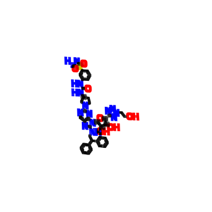 NS(=O)(=O)c1cccc(NC(=O)N[C@@H]2CCN(c3ncc4nc(NCC(c5ccccc5)c5ccccc5)n([C@@H]5O[C@H](c6nnn(CCO)n6)[C@@H](O)[C@H]5O)c4n3)C2)c1